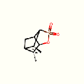 C[C@H]1C2OS(=O)(=O)C3C2CC1[C@@H]3C